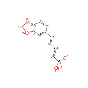 O=C(O)C=CC=Cc1ccc2c(c1)OCO2